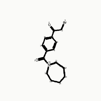 O=C(CBr)c1ccc(C(=O)N2CCCCCC2)cc1